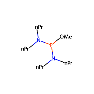 CCCN(CCC)P(OC)N(CCC)CCC